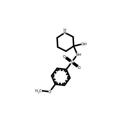 COc1ccc(S(=O)(=O)NC2(O)CCCNC2)cc1